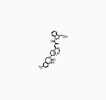 C=C(/C=C(\N=C/N)N1CCC(N2CCc3cc(OC)ccc3NC2=O)CC1)C(=O)N1CC(CO)c2ccccc21